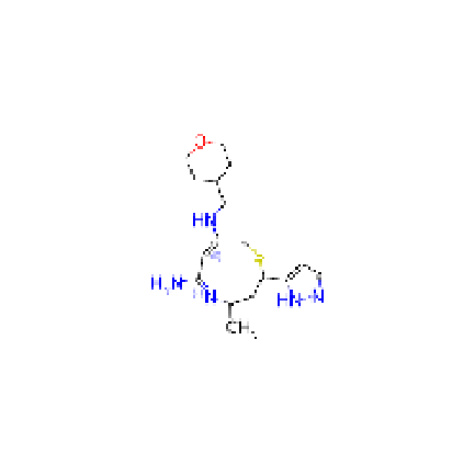 C=C1CC(c2ccn[nH]2)SC/C(NCC2CCOCC2)=C\C(N)=N/1